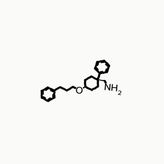 NC[C@]1(c2ccccc2)CC[C@H](OCCCc2ccccc2)CC1